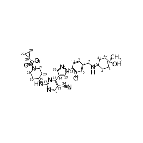 C[C@]1(O)CC[C@@H](NCc2ccc(-n3cc(-c4nc(NC5CCN(S(=O)(=O)C6CC6)CC5)ncc4C#N)cn3)c(Cl)c2)CC1